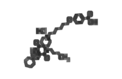 CCCCN1C(=O)[C@@H](CC2(O)CCCCC2)NC(=O)C12CCN(CCCCCCOc1ccc(C(=O)O)cc1)CC2.Cl